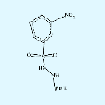 CCCC(C)NNS(=O)(=O)c1cccc([N+](=O)[O-])c1